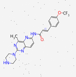 Cc1nc(N2CCNCC2)nc2ccc(NC(=O)/C=C/c3ccc(OC(F)(F)F)cc3)nc12